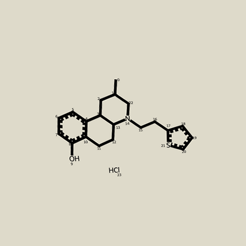 CC1CC2c3cccc(O)c3CCC2N(CCc2cccs2)C1.Cl